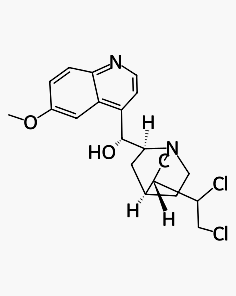 COc1ccc2nccc([C@@H](O)[C@@H]3C[C@@H]4CCN3C[C@@H]4C(Cl)CCl)c2c1